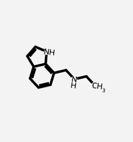 CCNCc1cccc2cc[nH]c12